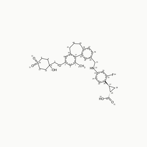 Cc1cc(OCC2(O)CCS(=O)(=O)CC2)cc2c1-c1cc(CNc3ccc([C@H]4C[C@@H]4C(=O)O)c(F)c3)ccc1CCC2